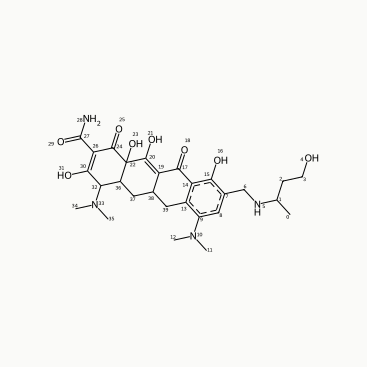 CC(CCO)NCc1cc(N(C)C)c2c(c1O)C(=O)C1=C(O)C3(O)C(=O)C(C(N)=O)=C(O)C(N(C)C)C3CC1C2